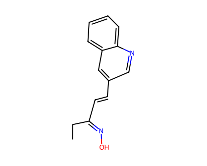 CCC(C=Cc1cnc2ccccc2c1)=NO